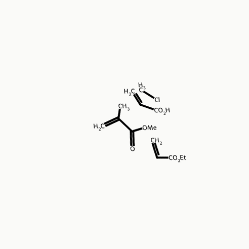 C=C(C)C(=O)OC.C=CC(=O)O.C=CC(=O)OCC.CCl